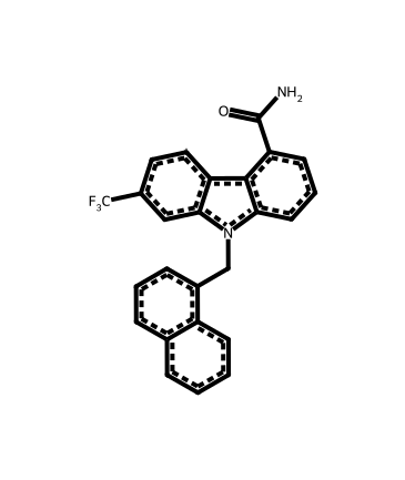 NC(=O)c1cccc2c1c1[c]cc(C(F)(F)F)cc1n2Cc1cccc2ccccc12